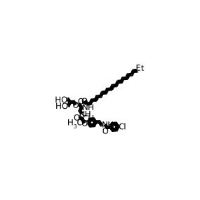 CCC=CCC=CCC=CCC=CCC=CCC=CCCC(=O)NC(CNC(=O)C(C)(C)Oc1ccc(CCNC(=O)c2ccc(Cl)cc2)cc1)C(=O)OCC(CO)CO